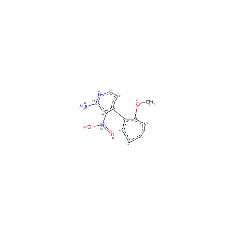 COc1ccccc1-c1ccnc(N)c1[N+](=O)[O-]